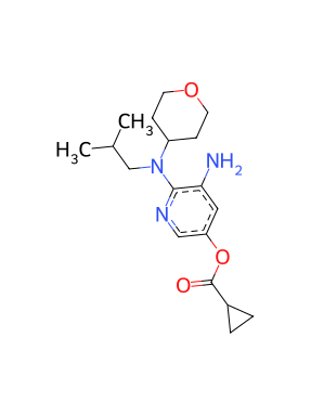 CC(C)CN(c1ncc(OC(=O)C2CC2)cc1N)C1CCOCC1